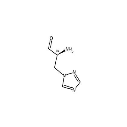 N[C@H](C=O)Cn1cncn1